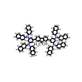 CC1(C)c2cc(-c3cc(N(c4ccc5ccccc5c4)c4ccc5ccccc5c4)cc(N(c4ccc5ccccc5c4)c4ccc5ccccc5c4)c3)ccc2-c2ccc(-c3cc(N(c4ccc5ccccc5c4)c4ccc5ccccc5c4)cc(N(c4ccc5ccccc5c4)c4ccc5ccccc5c4)c3)cc21